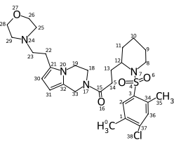 Cc1cc(S(=O)(=O)N2CCCCC2CCC(=O)N2CCn3c(CCN4CCOCC4)ccc3C2)c(C)cc1Cl